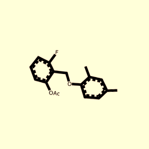 CC(=O)Oc1cccc(F)c1COc1ccc(C)cc1C